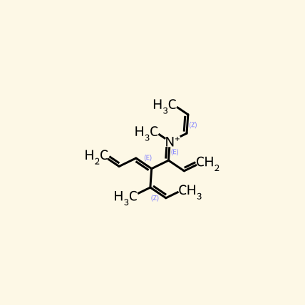 C=C/C=C(C(\C)=C/C)/C(C=C)=[N+](C)/C=C\C